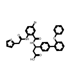 O=C(O)CC(NC(=O)c1cc(Br)ccc1NC(=O)Cc1cccs1)c1ccc(-c2ccccc2Oc2ccccc2)cc1